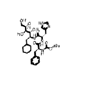 CC(C)(C)OC(=O)N[C@@H](Cc1ccccc1)C(=O)N[C@@H](Cc1c[nH]cn1)C(=O)N[C@@H](CC1CCCCC1)[C@@H](O)[C@@H](O)[C@@H](O)CO